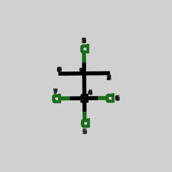 CC(C)(Cl)[Si](Cl)(Cl)Cl